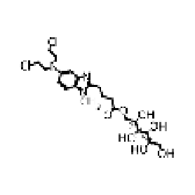 Cn1c(CCCC(=O)OC[C@@H](O)[C@@H](O)[C@H](O)[C@H](O)CO)nc2cc(N(CCCl)CCCl)ccc21